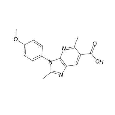 COc1ccc(-n2c(C)nc3cc(C(=O)O)c(C)nc32)cc1